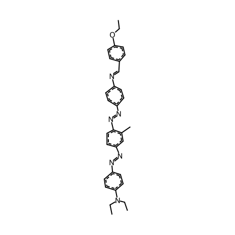 CCOc1ccc(C=Nc2ccc(N=Nc3ccc(N=Nc4ccc(N(CC)CC)cc4)cc3C)cc2)cc1